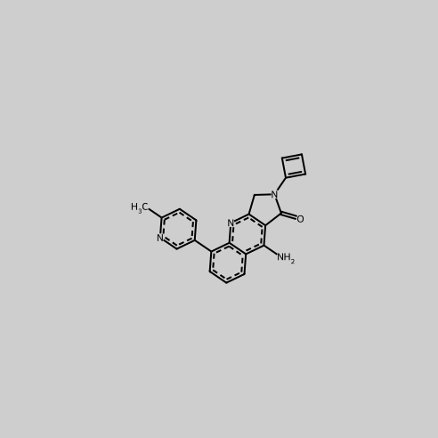 Cc1ccc(-c2cccc3c(N)c4c(nc23)CN(C2=CC=C2)C4=O)cn1